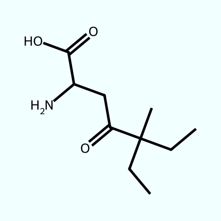 CCC(C)(CC)C(=O)CC(N)C(=O)O